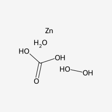 O.O=C(O)O.OO.[Zn]